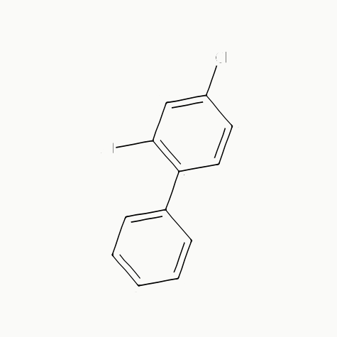 Clc1ccc(-c2ccccc2)c(I)c1